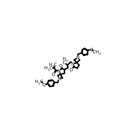 COc1ccc(CN2CC3(CCC(=O)N3CC(C)CC3CC4(CN(Cc5ccc(OC)cc5)C4)N(C(=O)C(C)C)C3=O)C2)cc1